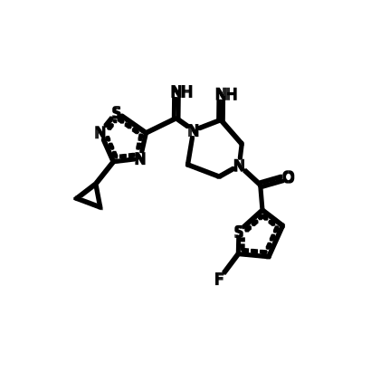 N=C1CN(C(=O)c2ccc(F)s2)CCN1C(=N)c1nc(C2CC2)ns1